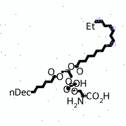 CC/C=C\C/C=C\C/C=C\CCCCCCCC(=O)O[C@H](COC(=O)CCCCCCCCCCCCCCC)COP(=O)(O)OC[C@H](N)C(=O)O